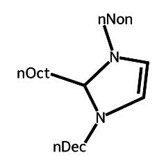 CCCCCCCCCCN1C=CN(CCCCCCCCC)C1CCCCCCCC